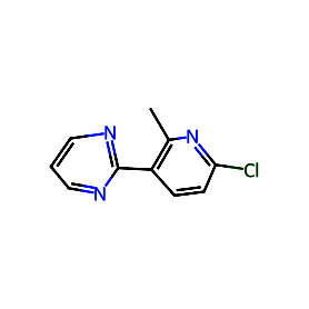 Cc1nc(Cl)ccc1-c1ncccn1